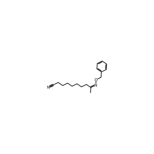 CC(CCCCCCCC#N)=NOCc1ccccc1